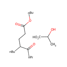 CC(O)C(=O)O.CCCCOC(=O)CCC(CCCC)C(=O)CCC